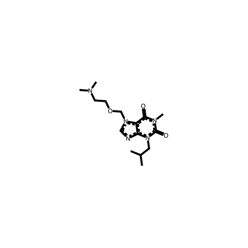 CC(C)Cn1c(=O)n(C)c(=O)c2c1ncn2COCCN(C)C